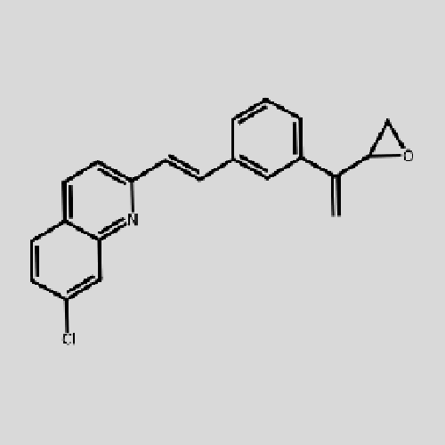 C=C(c1cccc(C=Cc2ccc3ccc(Cl)cc3n2)c1)C1CO1